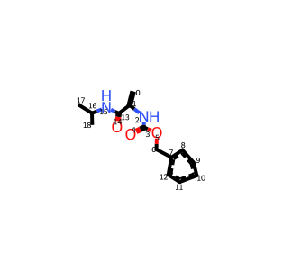 C=C(NC(=O)OCc1ccccc1)C(=O)NC(C)C